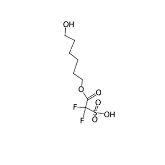 O=C(OCCCCCCO)C(F)(F)S(=O)(=O)O